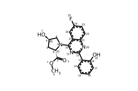 COC(=O)[C@@H]1C[C@@H](O)CN1c1nc(-c2ccccc2O)nc2ccc(F)cc12